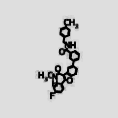 CNC(=O)c1c(-c2ccc(F)cc2)oc2ccc(-c3cccc(C(=O)NCc4ccc(C)cc4)c3)cc12